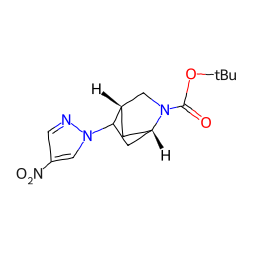 CC(C)(C)OC(=O)N1C[C@@H]2C[C@H]1CC2n1cc([N+](=O)[O-])cn1